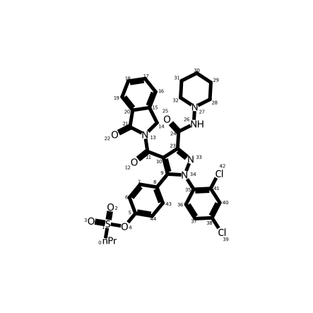 CCCS(=O)(=O)Oc1ccc(-c2c(C(=O)N3Cc4ccccc4C3=O)c(C(=O)NN3CCCCC3)nn2-c2ccc(Cl)cc2Cl)cc1